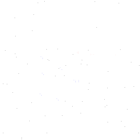 CCC(CC)n1cnc2c(NCc3cccc(OC)c3O)nc(NC(CC)C(C)(C)O)nc21